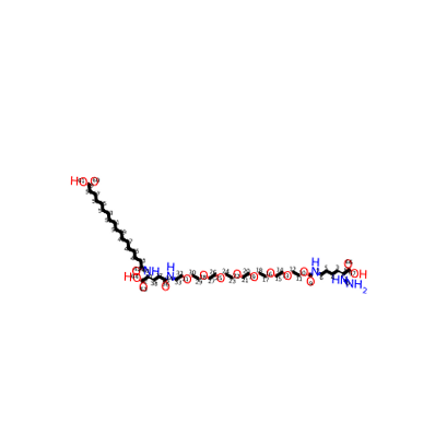 NN[C@@H](CCCCNC(=O)OCCOCCOCCOCCOCCOCCOCCOCCNC(=O)CC[C@H](NC(=O)CCCCCCCCCCCCCCCCC(=O)O)C(=O)O)C(=O)O